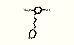 COc1ccc(N)cc1OCCCN1CCNCC1